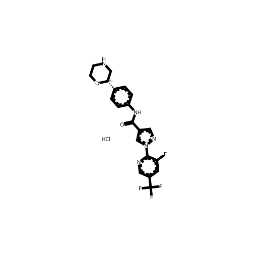 Cl.O=C(Nc1ccc([C@H]2CNCCO2)cc1)c1cnn(-c2ncc(C(F)(F)F)cc2F)c1